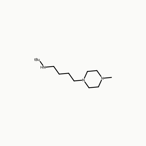 CN1CCN(CCCCNC(C)(C)C)CC1